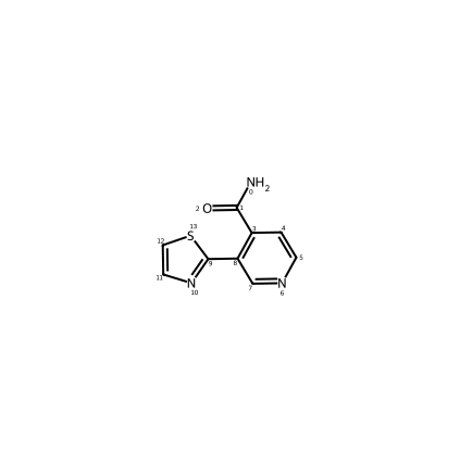 NC(=O)c1ccncc1-c1nccs1